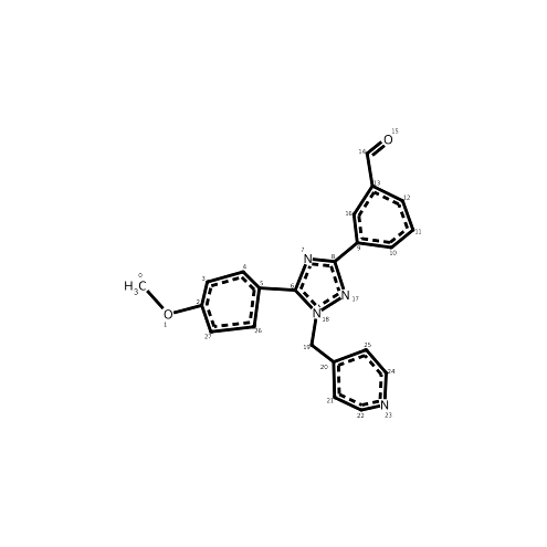 COc1ccc(-c2nc(-c3cccc(C=O)c3)nn2Cc2ccncc2)cc1